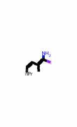 CCC/C=C\C(C)=C(/N)I